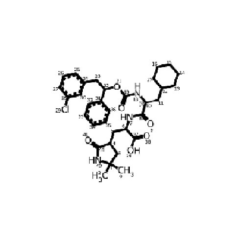 CC1(C)CC(CC(NC(=O)[C@H](CC2CCCCC2)NC(=O)OC(Cc2cccc(Cl)c2)c2ccccc2)C(=O)O)C(=O)N1